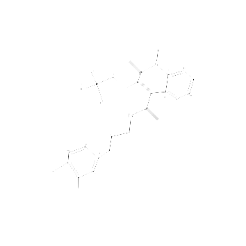 Cn1c(=O)c(OCC(C)(C)O)c(C(=O)NCCCc2ccc(Cl)c(Cl)c2)c2ccccc21